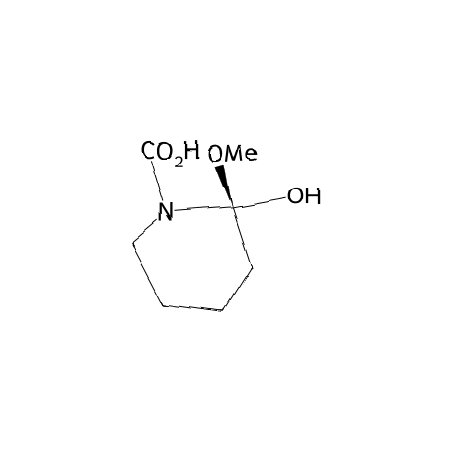 CO[C@@]1(O)CCCCN1C(=O)O